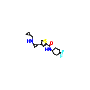 O=C(NC1CCC(F)(F)CC1)c1cc(C2CC2NCC2CC2)cs1